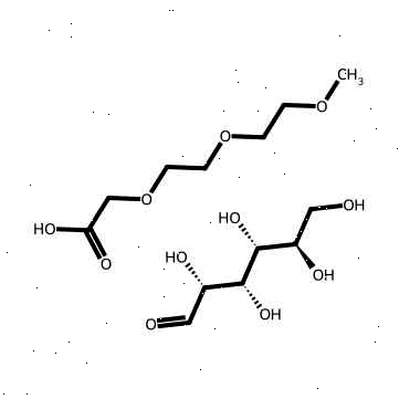 COCCOCCOCC(=O)O.O=C[C@H](O)[C@@H](O)[C@H](O)[C@H](O)CO